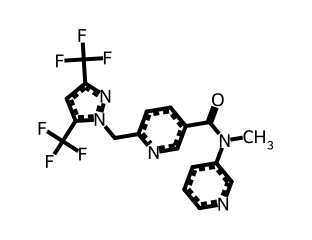 CN(C(=O)c1ccc(Cn2nc(C(F)(F)F)cc2C(F)(F)F)nc1)c1cccnc1